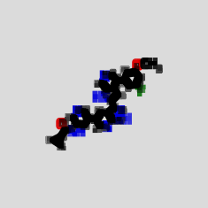 COc1cc(F)cc(-c2cncc3[nH]c(-c4n[nH]c5ncc(-c6cncc(NC(=O)C7CC7)c6)cc45)cc23)c1